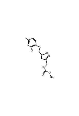 CC(C)(C)OC(=O)NCC1=NOC(COc2ccc(I)nc2Cl)C1